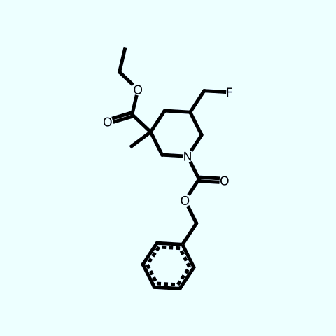 CCOC(=O)C1(C)CC(CF)CN(C(=O)OCc2ccccc2)C1